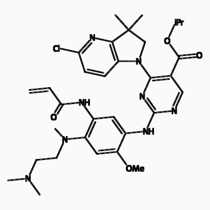 C=CC(=O)Nc1cc(Nc2ncc(C(=O)OC(C)C)c(N3CC(C)(C)c4nc(Cl)ccc43)n2)c(OC)cc1N(C)CCN(C)C